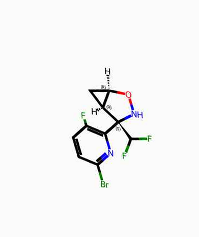 Fc1ccc(Br)nc1[C@@]1(C(F)F)NO[C@@H]2C[C@@H]21